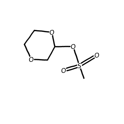 CS(=O)(=O)OC1COCCO1